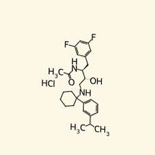 CC(=O)N[C@@H](Cc1cc(F)cc(F)c1)[C@H](O)CNC1(c2cccc(C(C)C)c2)CCCCC1.Cl